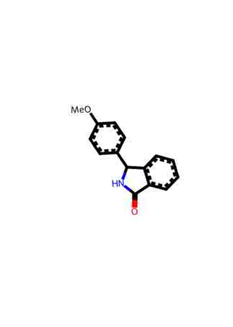 COc1ccc(C2NC(=O)c3ccccc32)cc1